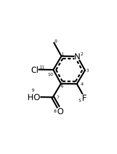 Cc1ncc(F)c(C(=O)O)c1Cl